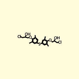 Cc1cc(Sc2cc(C)c(OCC(O)CCl)c(C)c2)cc(C)c1OCC(O)CCl